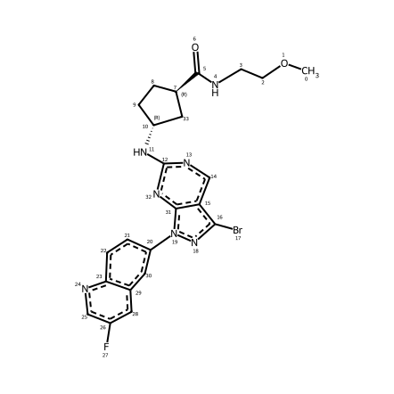 COCCNC(=O)[C@@H]1CC[C@@H](Nc2ncc3c(Br)nn(-c4ccc5ncc(F)cc5c4)c3n2)C1